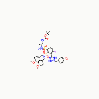 COc1ccc(CN2NN=C(c3c(I)ccc(S(=O)(=O)NC(C)CNC(=O)OC(C)(C)C)c3S(=O)(=O)N(Cc3ccc(OC)cc3)Cc3ccc(OC)cc3)N2)cc1